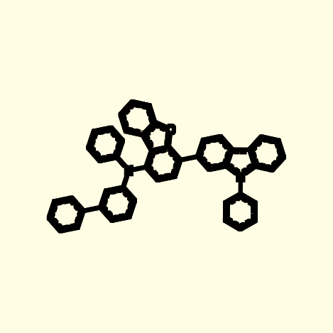 c1ccc(-c2cccc(N(c3ccccc3)c3ccc(-c4ccc5c6ccccc6n(-c6ccccc6)c5c4)c4oc5ccccc5c34)c2)cc1